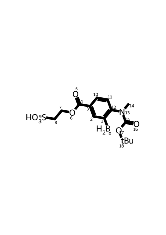 Bc1cc(C(=O)OCCS(=O)(=O)O)ccc1N(C)C(=O)OC(C)(C)C